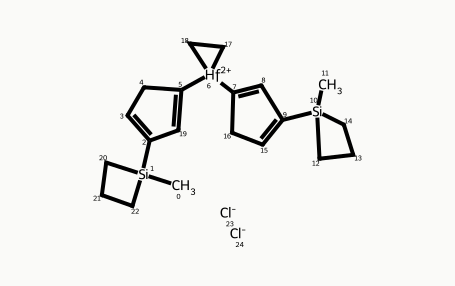 C[Si]1(C2=CC[C]([Hf+2]3([C]4=CC([Si]5(C)CCC5)=CC4)[CH2][CH2]3)=C2)CCC1.[Cl-].[Cl-]